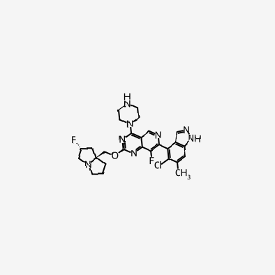 Cc1cc2[nH]ncc2c(-c2ncc3c(N4CCNCC4)nc(OC[C@@]45CCCN4C[C@H](F)C5)nc3c2F)c1Cl